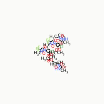 C=CCOC(=O)C(C)(C)OC(=O)c1cc(-n2c(=O)cc(C(F)(F)F)n(C)c2=O)ccc1Cl.CC(C)OC(=O)c1cc(-n2c(=O)cc(C(F)(F)F)n(C)c2=O)ccc1Cl.CCC(C)n1c(=O)[nH]c(C)c(Br)c1=O.Cc1[nH]c(=O)n(C(C)C)c(=O)c1Br